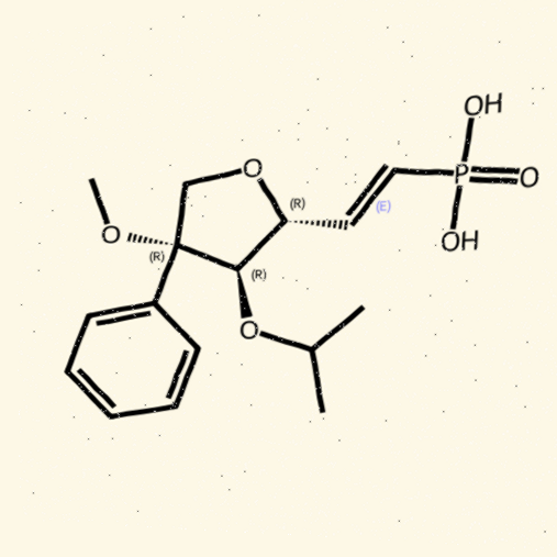 CO[C@]1(c2ccccc2)CO[C@H](/C=C/P(=O)(O)O)[C@H]1OC(C)C